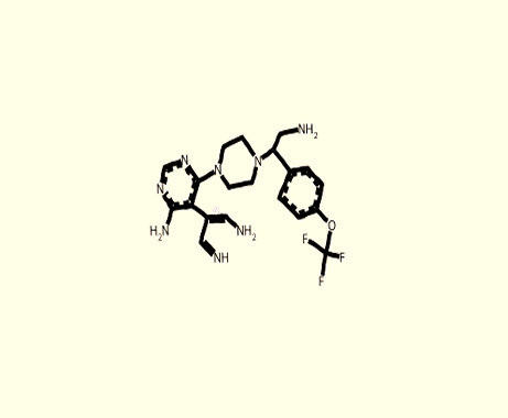 N=C/C(=C\N)c1c(N)ncnc1N1CCN(C(CN)c2ccc(OC(F)(F)F)cc2)CC1